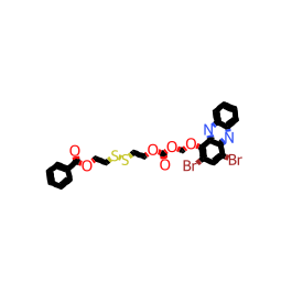 O=C(OCCSSCCOC(=O)c1ccccc1)OCOc1c(Br)cc(Br)c2nc3ccccc3nc12